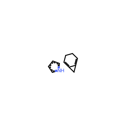 C1=C2CC2=CCC1.c1cc[nH]c1